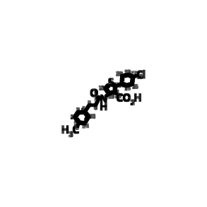 Cc1ccc(CCC(=O)Nc2csc(-c3ccc(Cl)cc3)c2C(=O)O)cc1